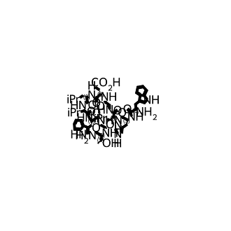 CC(C)C[C@H](NC(=O)[C@H](Cc1c[nH]cn1)NC(=O)[C@@H](N)Cc1c[nH]c2ccccc12)C(=O)NCC(=O)N[C@@H](CCC(=O)O)C(=O)N[C@@H](CC(C)C)C(=O)NC(C(=O)N[C@@H](Cc1c[nH]c2ccccc12)C(=O)NCC(=O)N[C@H](C(N)=O)[C@H](C)O)C(C)C